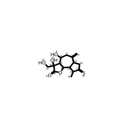 C=C1CC(O)C2C(OC(=O)C2(O)CO)C2C(C)C(=S)CC12